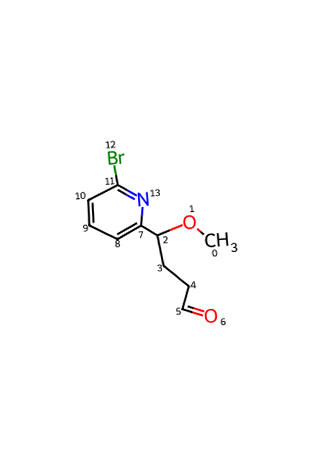 COC(CCC=O)c1cccc(Br)n1